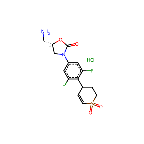 Cl.NC[C@H]1CN(c2cc(F)c(C3C=CS(=O)(=O)CC3)c(F)c2)C(=O)O1